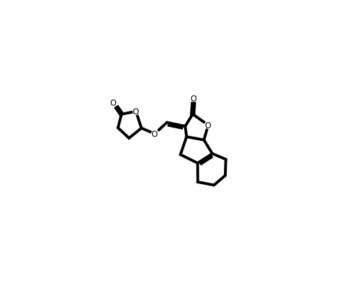 O=C1CCC(O/C=C2/C(=O)OC3C4=C(CCCC4)CC23)O1